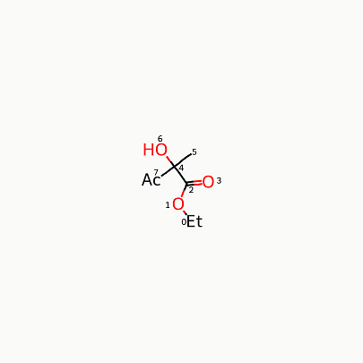 CCOC(=O)C(C)(O)C(C)=O